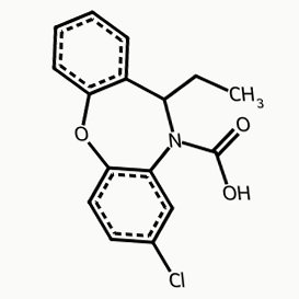 CCC1c2ccccc2Oc2ccc(Cl)cc2N1C(=O)O